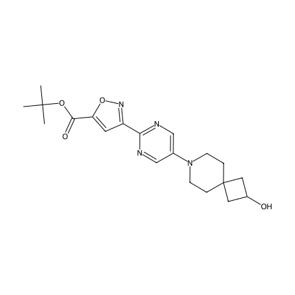 CC(C)(C)OC(=O)c1cc(-c2ncc(N3CCC4(CC3)CC(O)C4)cn2)no1